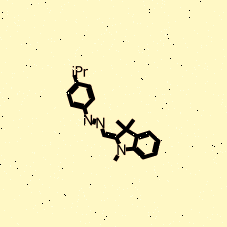 CC(C)c1ccc(/N=N/C=C2/N(C)c3ccccc3C2(C)C)cc1